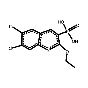 CCOc1nc2cc(Cl)c(Cl)cc2cc1P(=O)(O)O